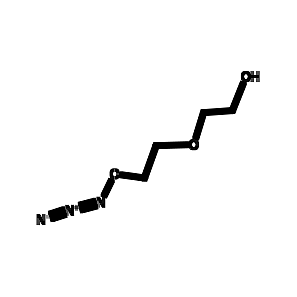 [N-]=[N+]=NOCCOCCO